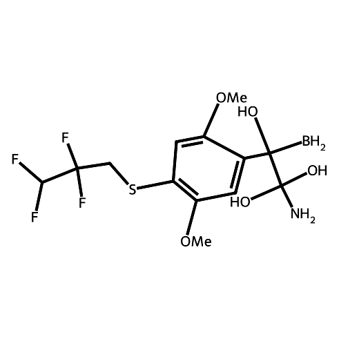 BC(O)(c1cc(OC)c(SCC(F)(F)C(F)F)cc1OC)C(N)(O)O